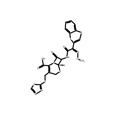 CON=C(C(=O)NC1C(=O)N2C(C(=O)O)=C(CSc3nncs3)CS[C@@H]12)C1=CSc2ccccc2S1